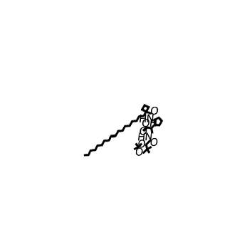 CCCCCCCCC=CCCCCCCCCC1(C(=O)NC2CCCC2C(CNC(=O)C2OC(C)(C)OCC2(C)C)C(=O)O)CCC1